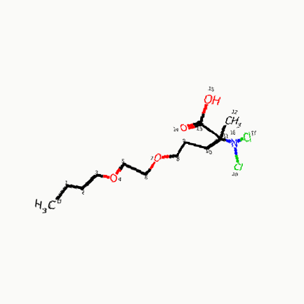 CCCCOCCOCCCC(C)(C(=O)O)N(Cl)Cl